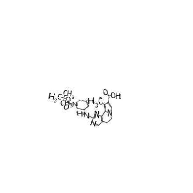 Cc1c(C(=O)O)cn2c1-c1nc(N[C@H]3CCCN(C(=O)OC(C)(C)C)C3)ncc1CC2